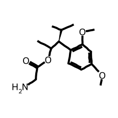 COc1ccc([C@H](C(C)C)C(C)OC(=O)CN)c(OC)c1